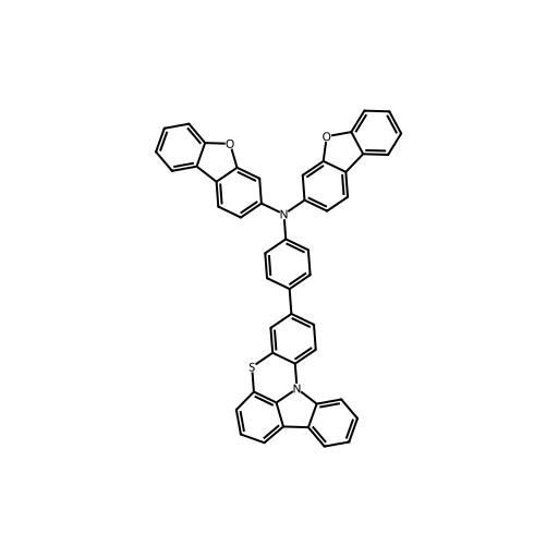 c1ccc2c(c1)oc1cc(N(c3ccc(-c4ccc5c(c4)Sc4cccc6c7ccccc7n-5c46)cc3)c3ccc4c(c3)oc3ccccc34)ccc12